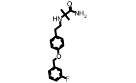 CC(C)(NCCc1ccc(OCc2cccc(F)c2)cc1)C(N)=O